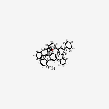 N#Cc1cccc2c1-c1cc(-c3ccccc3-c3nc(C4=CCCC=C4)cc(-c4ccccc4)n3)ccc1C21c2ccccc2Oc2ccccc21